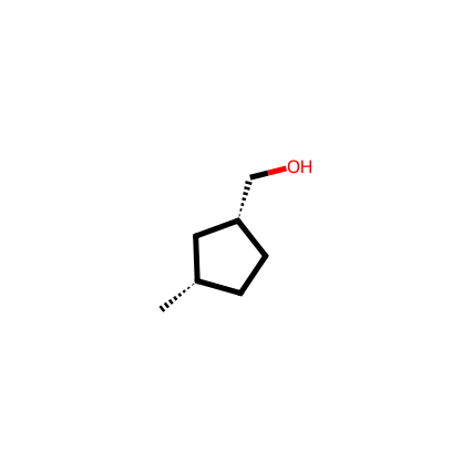 C[C@H]1CC[C@@H](CO)C1